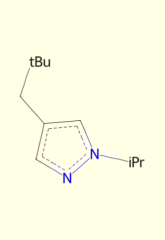 CC(C)n1cc(CC(C)(C)C)cn1